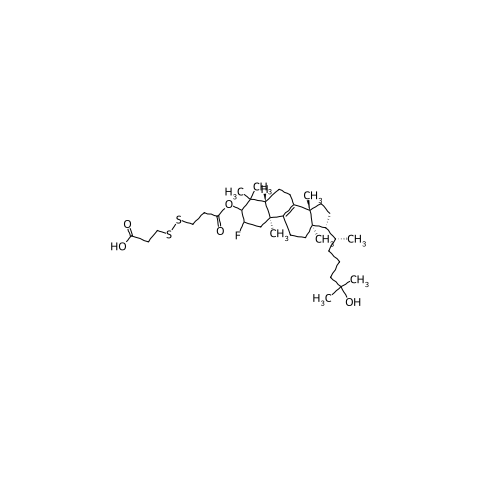 C[C@H](CCCC(C)(C)O)[C@H]1CC[C@@]2(C)C3=C(CC[C@]12C)[C@@]1(C)CC(F)C(OC(=O)CCSSCCC(=O)O)C(C)(C)[C@@H]1CC3